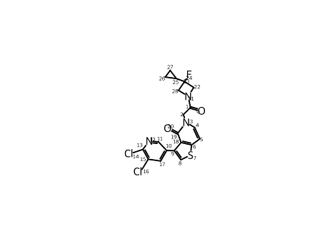 O=C(Cn1ccc2scc(-c3cnc(Cl)c(Cl)c3)c2c1=O)N1CC(F)(C2CC2)C1